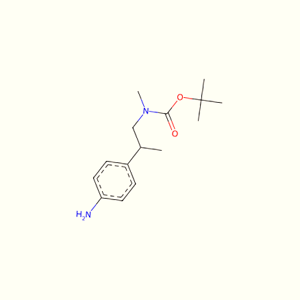 CC(CN(C)C(=O)OC(C)(C)C)c1ccc(N)cc1